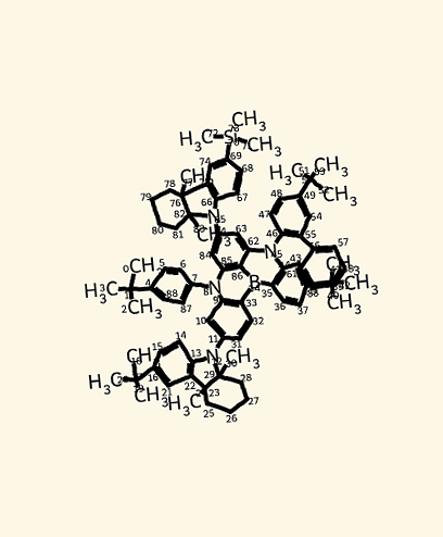 CC(C)(C)c1ccc(N2c3cc(N4c5ccc(C(C)(C)C)cc5C5(C)CCCCC45C)ccc3B3c4ccc(C(C)(C)C)cc4N(c4ccc(C(C)(C)C)cc4-c4ccccc4)c4cc(N5c6ccc([Si](C)(C)C)cc6C6(C)CCCCC56C)cc2c43)cc1